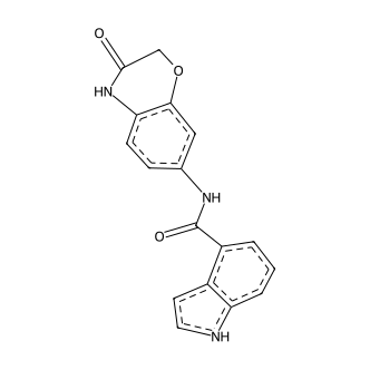 O=C1COc2cc(NC(=O)c3cccc4[nH]ccc34)ccc2N1